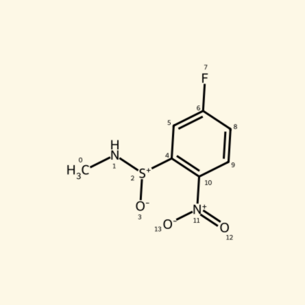 CN[S+]([O-])c1cc(F)ccc1[N+](=O)[O-]